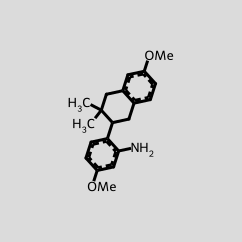 COc1ccc(C2Cc3ccc(OC)cc3CC2(C)C)c(N)c1